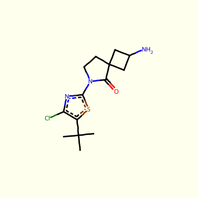 CC(C)(C)c1sc(N2CCC3(CC(N)C3)C2=O)nc1Cl